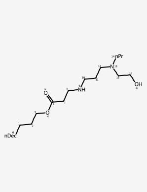 CCCCCCCCCCCCCOC(=O)CCNCCCN(CCC)CCO